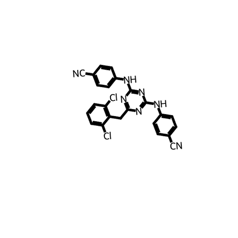 N#Cc1ccc(Nc2nc(Cc3c(Cl)cccc3Cl)nc(Nc3ccc(C#N)cc3)n2)cc1